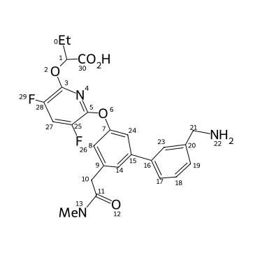 CCC(Oc1nc(Oc2cc(CC(=O)NC)cc(-c3cccc(CN)c3)c2)c(F)cc1F)C(=O)O